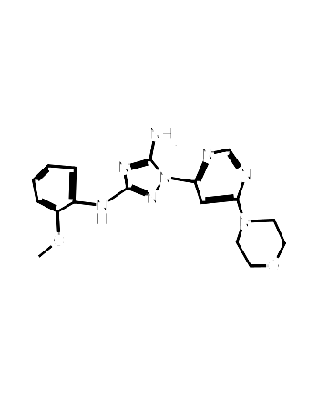 COc1ccccc1Nc1nc(N)n(-c2cc(N3CCOCC3)ncn2)n1